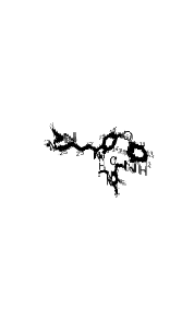 CCn1nc(C)cc1C(=O)Nc1cccc(Oc2ccc3c(/C=C/c4cn(C)c(C)n4)n[nH]c3c2)c1